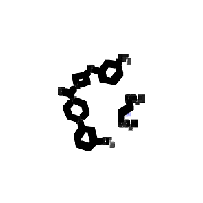 O=C(N1CCN(c2cccc(C(F)(F)F)c2)CC1)N1CC(Oc2cccc(C(F)(F)F)c2)C1.O=C(O)/C=C/C(=O)O